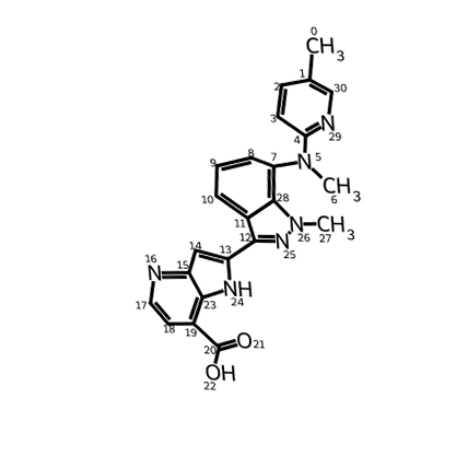 Cc1ccc(N(C)c2cccc3c(-c4cc5nccc(C(=O)O)c5[nH]4)nn(C)c23)nc1